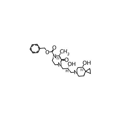 C[C@H]1C(=O)N(C[C@H](O)CN2CCC3(CC3)[C@H](O)C2)CCN1C(=O)OCc1ccccc1